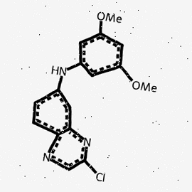 COc1cc(Nc2ccc3ncc(Cl)nc3c2)cc(OC)c1